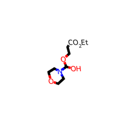 CCOC(=O)CCOC(O)N1CCOCC1